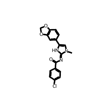 Cn1cc(-c2ccc3c(c2)OCO3)[nH]/c1=N\C(=O)c1ccc(Cl)cc1